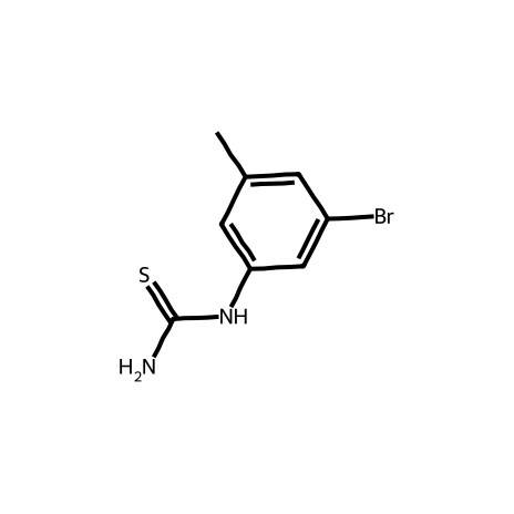 Cc1cc(Br)cc(NC(N)=S)c1